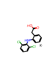 O=C(O)Cc1ccccc1Nc1c(Cl)cccc1Cl.[K]